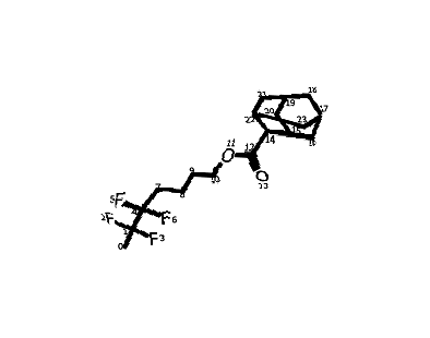 CC(F)(F)C(F)(F)CCCCOC(=O)C1C2CC3CC(C2)CC1C3